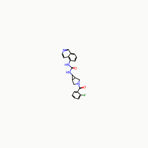 O=C(Nc1cccc2cnccc12)NC1C2CN(C(=O)c3ccccc3F)CC21